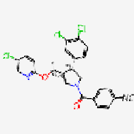 [C-]#[N+]c1ccc(C(=O)N2C[C@@H]([C@@H](C)Oc3ccc(Cl)cn3)[C@H](c3ccc(Cl)c(Cl)c3)C2)cc1